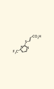 O=C(O)C=CSc1nccc(C(F)(F)F)n1